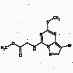 COC(=O)CNc1nc(SC)nc2c(Br)cnn12